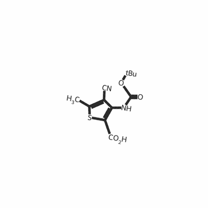 Cc1sc(C(=O)O)c(NC(=O)OC(C)(C)C)c1C#N